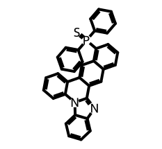 S=P(c1ccccc1)(c1ccccc1)c1cccc2cc3c(cc12)c1ccccc1n1c2ccccc2nc31